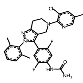 Cc1cnc(N2CCc3nn(-c4c(C)cccc4C)c(-c4cc(F)c(NC(N)=O)cc4F)c3C2)c(Cl)c1